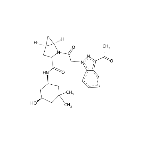 CC(=O)c1nn(CC(=O)N2[C@@H]3C[C@@H]3C[C@H]2C(=O)N[C@@H]2C[C@H](O)CC(C)(C)C2)c2ccccc12